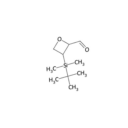 CC(C)(C)[Si](C)(C)C1COC1C=O